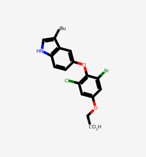 CCC(C)c1c[nH]c2ccc(Oc3c(Cl)cc(OCC(=O)O)cc3Br)cc12